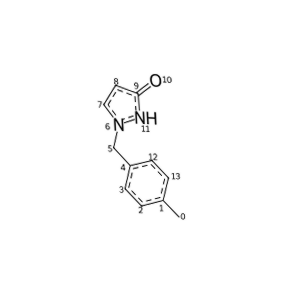 Cc1ccc(Cn2ccc(=O)[nH]2)cc1